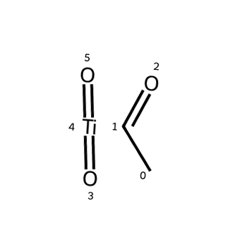 CC=O.[O]=[Ti]=[O]